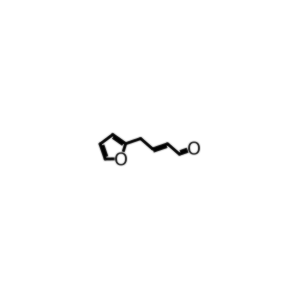 O=CC=CCc1ccco1